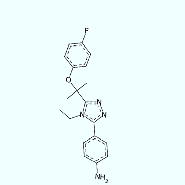 CCn1c(-c2ccc(N)cc2)nnc1C(C)(C)Oc1ccc(F)cc1